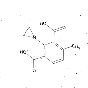 Cc1ccc(C(=O)O)c(N2CC2)c1C(=O)O